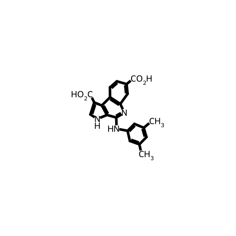 Cc1cc(C)cc(Nc2nc3cc(C(=O)O)ccc3c3c(C(=O)O)c[nH]c23)c1